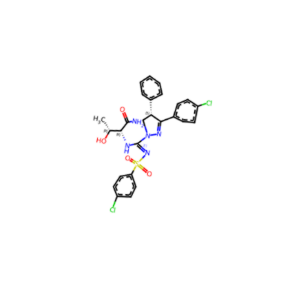 C[C@@H](O)[C@@H](N/C(=N\S(=O)(=O)c1ccc(Cl)cc1)N1C[C@H](c2ccccc2)C(c2ccc(Cl)cc2)=N1)C(N)=O